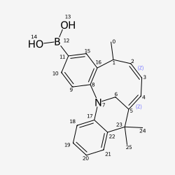 CC1/C=C\C=C2/CN(c3ccc(B(O)O)cc31)c1ccccc1C2(C)C